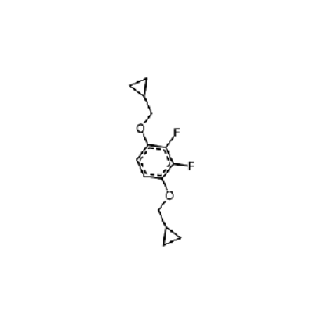 Fc1c(OCC2CC2)ccc(OCC2CC2)c1F